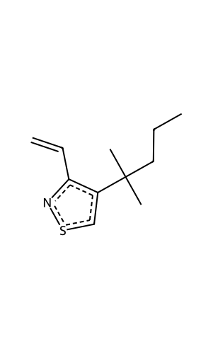 C=Cc1nscc1C(C)(C)CCC